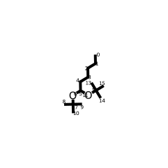 CCCCCC(OC(C)(C)C)OC(C)(C)C